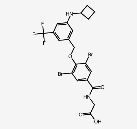 O=C(O)CNC(=O)c1cc(Br)c(OCc2cc(NC3CCC3)cc(C(F)(F)F)c2)c(Br)c1